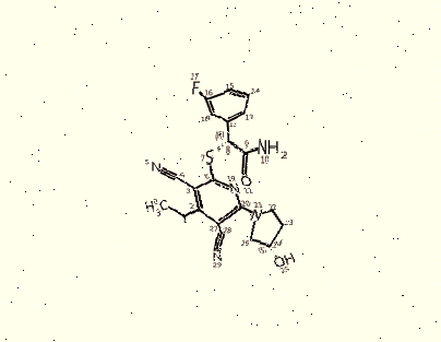 CCc1c(C#N)c(S[C@@H](C(N)=O)c2cccc(F)c2)nc(N2CC[C@H](O)C2)c1C#N